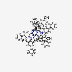 N#Cc1cccc(-c2cccc(-c3nc(-c4ccc(-c5ccccc5C#N)cc4-n4c5ccc(-c6ccccc6)cc5c5cc(-c6ccccc6)ccc54)nc(-c4ccc(-c5ccccc5C#N)cc4-n4c5ccc(-c6ccccc6)cc5c5cc(-c6ccccc6)ccc54)n3)c2)c1